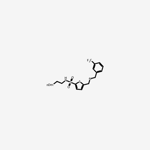 CCCCCCCCCCCCNS(=O)(=O)c1ccc(C[N]Cc2cccc(C(F)(F)F)c2)s1